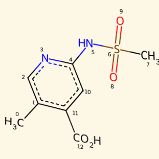 Cc1cnc(NS(C)(=O)=O)cc1C(=O)O